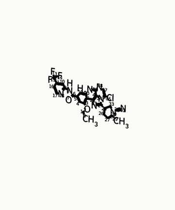 CCOc1cc(C(=O)Nc2cc(C(F)(F)F)ccn2)ccc1-c1nc([C@@H]2CC[C@H](C)N(C#N)C2)n2c(Cl)cnc(N)c12